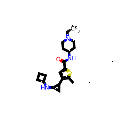 Cc1sc(C(=O)NC2CCN(CC(F)(F)F)CC2)cc1C1CC1NC1CCC1